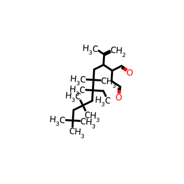 C=C(C)C(CC(C)(C)C(C)(CC)CC(C)(C)CC(C)(C)C)C(C=O)CC=O